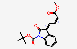 COC(=O)/C=C\C=C1\C(=O)N(C(=O)OC(C)(C)C)c2ccccc21